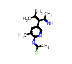 B/C(C)=C(\C(C)=N)c1cnc(/N=C(\C)Cl)c(C)c1